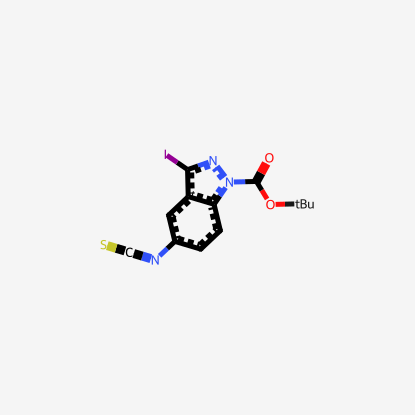 CC(C)(C)OC(=O)n1nc(I)c2cc(N=C=S)ccc21